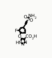 NS(=O)(=O)C#Cc1ccc(Oc2[nH]nnc2C(=O)O)c(F)c1